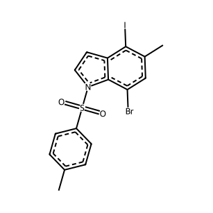 Cc1ccc(S(=O)(=O)n2ccc3c(I)c(C)cc(Br)c32)cc1